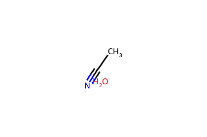 CC#N.O